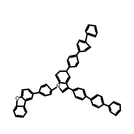 C1=c2c(-c3ccc(-c4ccc(-c5ccccc5)cc4)cc3)cn(-c3ccc(-c4ccc5oc6ccccc6c5c4)cc3)c2=CCC1c1ccc(-c2ccc(-c3ccccc3)cc2)cc1